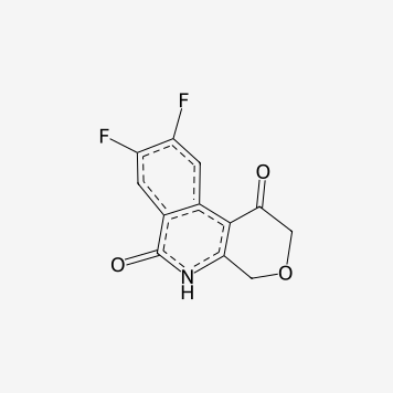 O=C1COCc2[nH]c(=O)c3cc(F)c(F)cc3c21